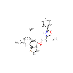 COC(Cc1ccc(OCCc2nc(-c3ccccc3)oc2C)c2ccsc12)C(=O)[O-].[Na+]